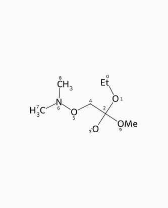 CCOC([O])(CON(C)C)OC